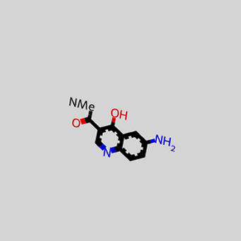 CNC(=O)c1cnc2ccc(N)cc2c1O